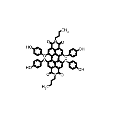 CCCCN1C(=O)c2cc(Oc3ccc(O)cc3)c3c4c(Oc5ccc(O)cc5)cc5c6c(cc(Oc7ccc(O)cc7)c(c7c(Oc8ccc(O)cc8)cc(c2c37)C1=O)c64)C(=O)N(CCCC)C5=O